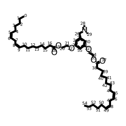 CCCCC/C=C\C/C=C\CCCCCCCC(=O)OCCOc1cc(CN(C)C)cc(OCCOC(=O)CCCCCCC/C=C\C/C=C\CCCCC)c1